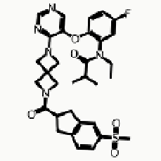 CCN(C(=O)C(C)C)c1cc(F)ccc1Oc1cncnc1N1CC2(CN(C(=O)C3Cc4ccc(S(C)(=O)=O)cc4C3)C2)C1